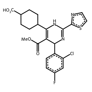 COC(=O)C1=C(C2CCC(C(=O)O)CC2)NC(c2nccs2)=NC1c1ccc(F)cc1Cl